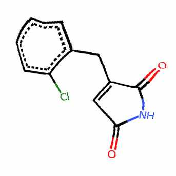 O=C1C=C(Cc2ccccc2Cl)C(=O)N1